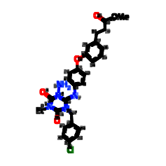 CCn1c(=O)n(N)/c(=N\c2ccc(Oc3cccc(CCC(=O)OC)c3)cc2)n(Cc2ccc(Cl)cc2)c1=O